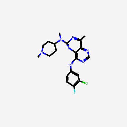 Cc1nc(N(C)C2CCN(C)CC2)nc2c(Nc3ccc(F)c(Cl)c3)ncnc12